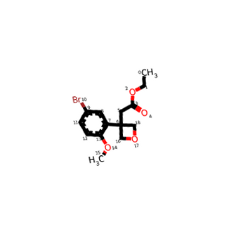 CCOC(=O)CC1(c2cc(Br)ccc2OC)COC1